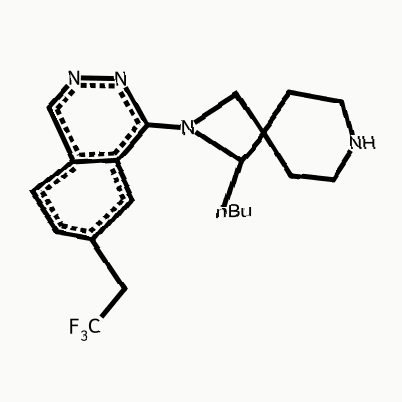 CCCCC1N(c2nncc3ccc(CC(F)(F)F)cc23)CC12CCNCC2